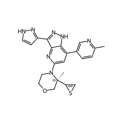 Cc1ccc(-c2cc(N3CCOC[C@]3(C)C3=CS3)nc3c(-c4cc[nH]n4)n[nH]c23)cn1